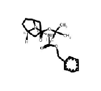 CC(C)(C)OC(=O)N1C2CC[C@H]1C[C@@H](NC(=O)OCc1ccccc1)C2